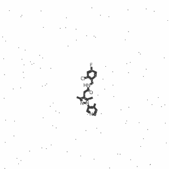 Cc1ccncc1-n1nc(C)c(CC(=O)NCc2ccc(F)cc2Cl)c1C